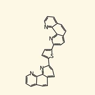 c1cnc2c(c1)ccc1ccc(-c3ccc(-c4ccc5ccc6cccnc6c5n4)s3)nc12